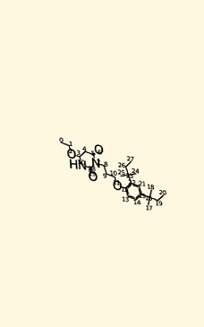 CCOC1CC(=O)N(CCCOc2ccc(C(C)(C)CC)cc2C(C)(C)CC)C(=O)N1